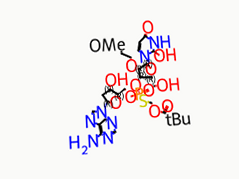 COCCO[C@@H]1[C@H](OP(=O)(OC[C@H]2O[C@@H](n3cnc4c(N)ncnc43)C[C@@H]2O)SCOC(=O)C(C)(C)C)[C@@H](CO)O[C@H]1N1C=CC(=O)NC1O